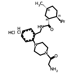 CC(C)[C@@H]1CC[C@@H](C)C[C@H]1C(=O)NCc1ccccc1N1CCN(C(=O)CN)CC1.Cl.Cl